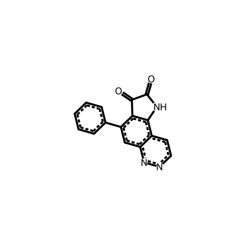 O=C1Nc2c(c(-c3ccccc3)cc3nnccc23)C1=O